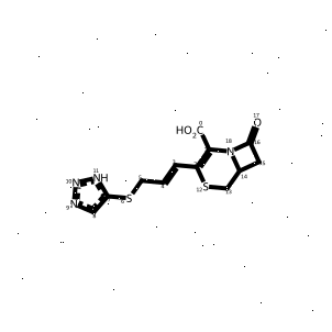 O=C(O)C1=C(C=CCSc2cnn[nH]2)SCC2CC(=O)N12